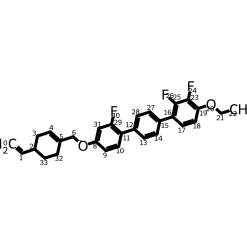 C=CC1CC=C(COc2ccc(-c3ccc(-c4ccc(OCC)c(F)c4F)cc3)c(F)c2)CC1